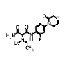 CCN(CC(F)(F)F)[C@H](C(N)=O)C(=O)Nc1ccc(N2CCOCC2=O)cc1F